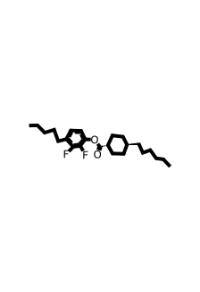 CCCCCC[C@H]1CC[C@H](C(=O)Oc2ccc(CCCCC)c(F)c2F)CC1